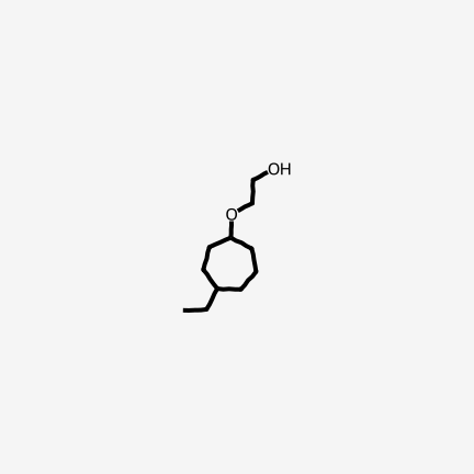 CCC1CCCC(OCCO)CC1